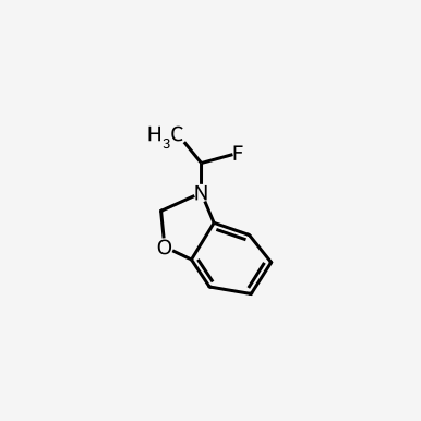 CC(F)N1COc2ccccc21